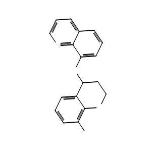 Clc1cccc2c1OCCC2Oc1cccc2cccnc12